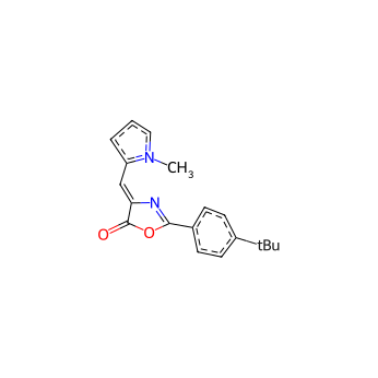 Cn1cccc1C=C1N=C(c2ccc(C(C)(C)C)cc2)OC1=O